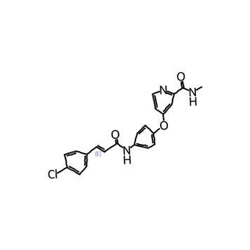 CNC(=O)c1cc(Oc2ccc(NC(=O)/C=C/c3ccc(Cl)cc3)cc2)ccn1